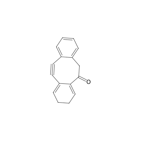 O=C1Cc2ccccc2C#CC2=CCCC=C12